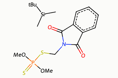 COP(=S)(OC)SCN1C(=O)c2ccccc2C1=O.C[Si](C)C(C)(C)C